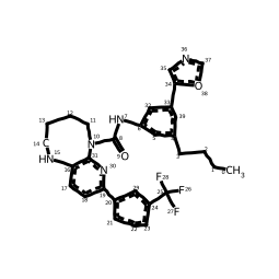 CCCCc1cc(NC(=O)N2CCCCNc3ccc(-c4cccc(C(F)(F)F)c4)nc32)cc(-c2cnco2)c1